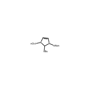 CCCCCCCCCN1C=CN(CCCCCCCC)C1CCCC